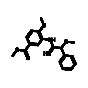 COC(=O)c1ccc(OC)c(NC(=N)C(OC)c2ccccc2)c1